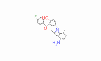 Cc1ccc(N)c2cc(C)n(Cc3ccc(O)c(C(=O)c4ccc(F)cc4)c3)c12